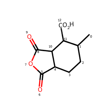 CC1CCC2C(=O)OC(=O)C2C1C(=O)O